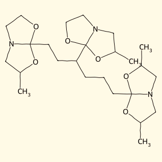 CC1CN2CCOC2(CCC(CCCC23OC(C)CN2CC(C)O3)C23OCCN2CC(C)O3)O1